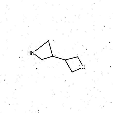 C1NCC1C1COC1